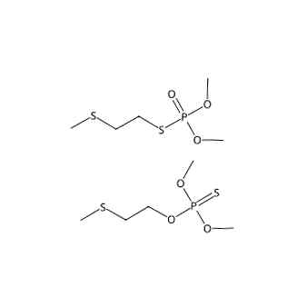 COP(=O)(OC)SCCSC.COP(=S)(OC)OCCSC